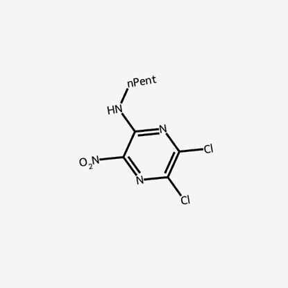 CCCCCNc1nc(Cl)c(Cl)nc1[N+](=O)[O-]